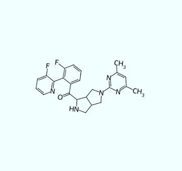 Cc1cc(C)nc(N2CC3CNC(C(=O)c4cccc(F)c4-c4ncccc4F)C3C2)n1